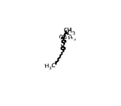 CCCCCCCCCCc1ccc(N=Cc2ccc(C(=O)OCC(C)CC)cc2)cc1